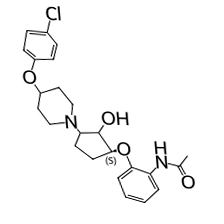 CC(=O)Nc1ccccc1O[C@H]1CCC(N2CCC(Oc3ccc(Cl)cc3)CC2)C1O